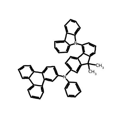 CC1(C)c2cc(N(c3ccccc3)c3ccc4c5ccccc5c5ccccc5c4c3)ccc2-c2c(-n3c4ccccc4c4ccccc43)cccc21